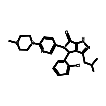 CC(C)Cc1n[nH]c2c1C(c1ccccc1Cl)N(c1ccc(N3CCN(C)CC3)nc1)C2=O